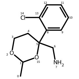 CC1OCCC(CN)(c2ccccc2Cl)O1